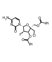 CC(C)C(=O)OC[C@@]1(CCl)O[C@@H](n2ccc(N)nc2=O)[C@H](F)[C@@H]1OC(=O)C(C)C